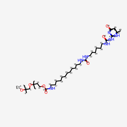 CCOC(C)(C)COC(C)(C)CCOC(=O)NCCCCCCCCCCCCNC(=O)NCCCCCCNC(=O)Nc1nc(=O)cc(C)[nH]1